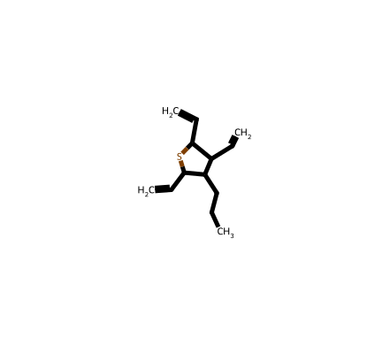 C=CC1SC(C=C)C(CCC)C1C=C